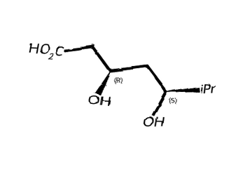 CC(C)[C@@H](O)C[C@@H](O)CC(=O)O